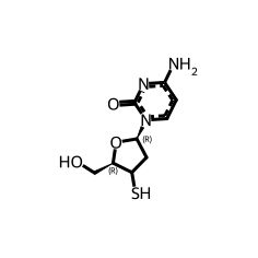 Nc1ccn([C@H]2CC(S)[C@@H](CO)O2)c(=O)n1